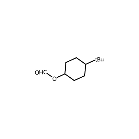 CC(C)(C)C1CCC(OC=O)CC1